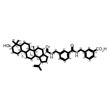 C=C(C)[C@@H]1CC[C@]2(C(=O)NCc3cccc(C(=O)NCc4cccc(C(=O)O)c4)c3)CC[C@]3(C)C(CCC4[C@@]5(C)CC[C@H](O)C(C)(C)C5CC[C@]43C)C12